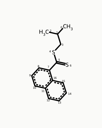 CC(C)CSC(=S)c1cccc2ccccc12